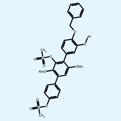 COc1cc(-c2ccc(OS(C)(=O)=O)cc2)c(OC)c(OS(C)(=O)=O)c1-c1ccc(OCc2ccccc2)c(OC(C)C)c1